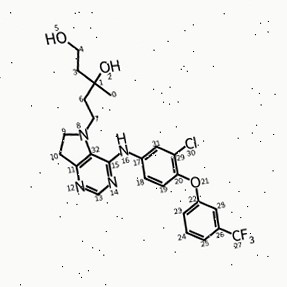 CC(O)(CCO)CCN1CCc2ncnc(Nc3ccc(Oc4cccc(C(F)(F)F)c4)c(Cl)c3)c21